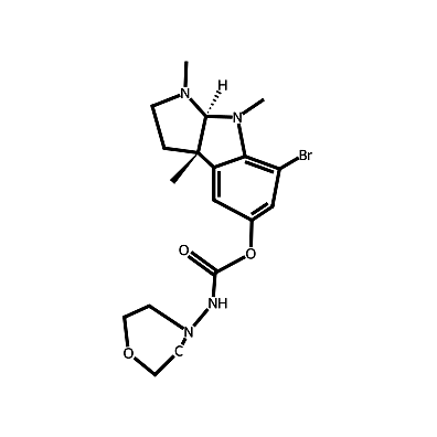 CN1CC[C@@]2(C)c3cc(OC(=O)NN4CCOCC4)cc(Br)c3N(C)[C@H]12